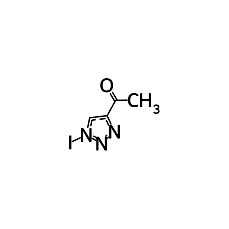 CC(=O)c1cn(I)nn1